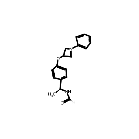 [3H]C(=O)N[C@@H](C)c1ccc(OC2CN(c3ccccc3)C2)cc1